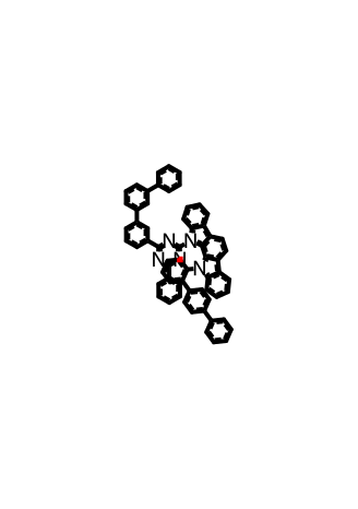 c1ccc(-c2ccc(-c3ccccc3-n3c4ccccc4c4ccc5c6ccccc6n(-c6nc(-c7ccccc7)nc(-c7cccc(-c8cccc(-c9ccccc9)c8)c7)n6)c5c43)cc2)cc1